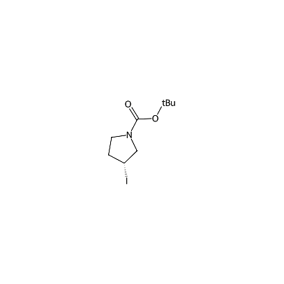 CC(C)(C)OC(=O)N1CC[C@@H](I)C1